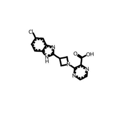 O=C(O)c1nccnc1N1CC(c2nc3cc(Cl)ccc3[nH]2)C1